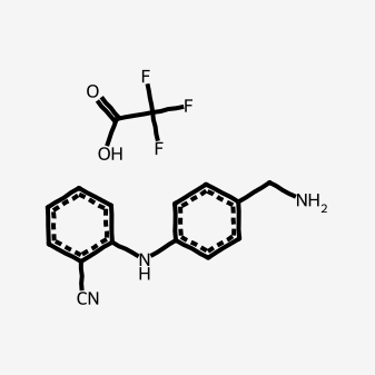 N#Cc1ccccc1Nc1ccc(CN)cc1.O=C(O)C(F)(F)F